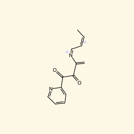 C=C(/N=C\C=C/C)C(=O)C(=O)c1ccccn1